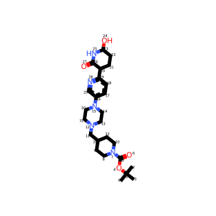 CC(C)(C)OC(=O)N1CCC(CN2CCN(c3ccc(C4CCC(O)NC4=O)nc3)CC2)CC1